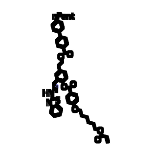 C=CC(=O)OCCCCCCOc1ccc(C(=O)Oc2ccc(CCOC(=O)c3ccc(-c4ccc(CCCCC)cc4)cc3)cc2/C=N/Nc2nc3ccccc3s2)cc1